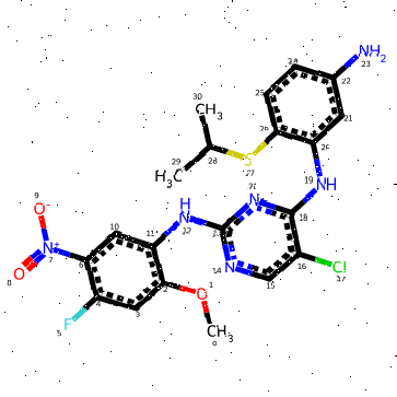 COc1cc(F)c([N+](=O)[O-])cc1Nc1ncc(Cl)c(Nc2cc(N)ccc2SC(C)C)n1